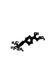 C[Si](C)(C)C#Cc1ccc(C(O)C[N+](=O)[O-])cc1